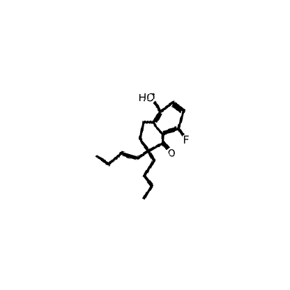 CCCCC1(CCCC)CCc2c(O)ccc(F)c2C1=O